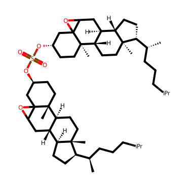 CC(C)CCC[C@@H](C)[C@H]1CC[C@H]2[C@@H]3CC4OC45C[C@@H](OS(=O)(=O)O[C@H]4CC[C@]6(C)[C@H]7CC[C@]8(C)[C@@H]([C@H](C)CCCC(C)C)CC[C@H]8[C@@H]7CC7OC76C4)CC[C@]5(C)[C@H]3CC[C@]12C